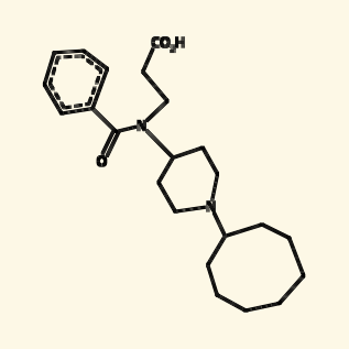 O=C(O)CCN(C(=O)c1ccccc1)C1CCN(C2CCCCCCC2)CC1